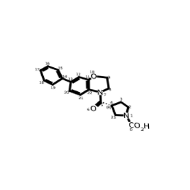 O=C(O)N1CC[C@@H](C(=O)N2CCOc3cc(-c4ccccc4)ccc32)C1